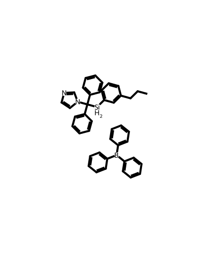 CCCc1cccc([SiH2]C(c2ccccc2)(c2ccccc2)n2ccnc2)c1.c1ccc(B(c2ccccc2)c2ccccc2)cc1